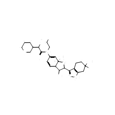 CC1C(c2n[nH]c3c2CCC(C)(C)C3)N[C@@]2(C)C=C(N(CCO)C(=O)C(O)C3CCCOC3)C=CC12